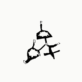 CC(C)(C)C(=O)N(c1ccc(F)cc1)c1ncc(Cl)cc1Cl